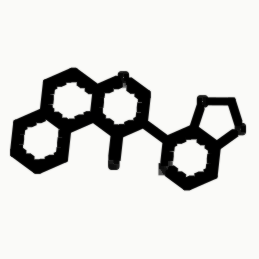 O=c1c(-c2nccc3c2OCO3)coc2ccc3ccccc3c12